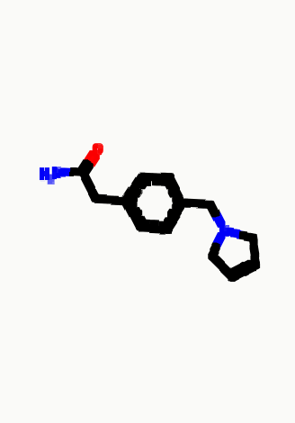 NC(=O)Cc1ccc(CN2CC=CC2)cc1